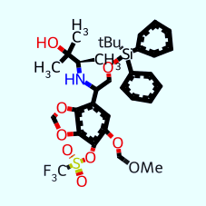 COCOc1cc(C(CO[Si](c2ccccc2)(c2ccccc2)C(C)(C)C)N[C@H](C)C(C)(C)O)c2c(c1OS(=O)(=O)C(F)(F)F)OCO2